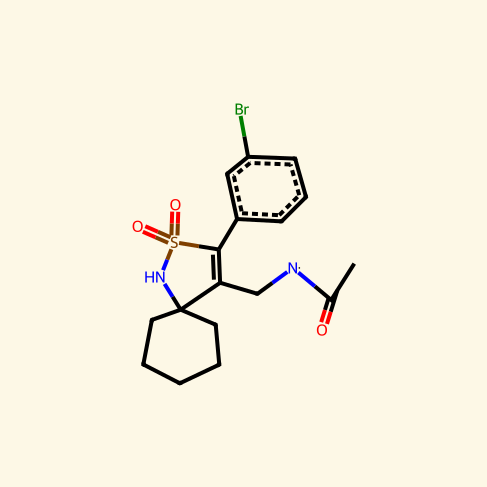 CC(=O)[N]CC1=C(c2cccc(Br)c2)S(=O)(=O)NC12CCCCC2